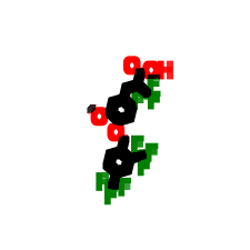 COc1cc(C=C(C(=O)O)C(F)(F)F)ccc1OCc1ccc(C(F)(F)F)cc1C(F)(F)F